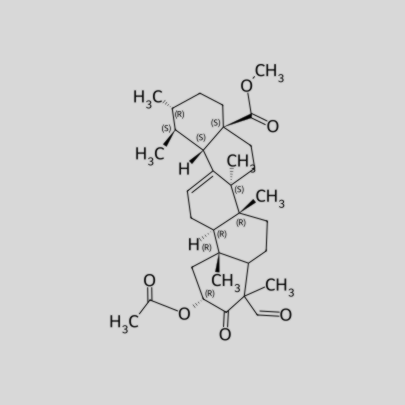 COC(=O)[C@]12CC[C@@H](C)[C@H](C)[C@H]1C1=CC[C@@H]3[C@@]4(C)C[C@@H](OC(C)=O)C(=O)C(C)(C=O)C4CC[C@@]3(C)[C@]1(C)CC2